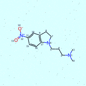 CN(C)CCCN1CCc2cc([N+](=O)[O-])ccc21